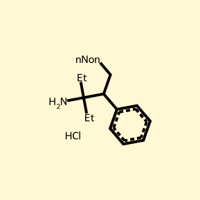 CCCCCCCCCCC(c1ccccc1)C(N)(CC)CC.Cl